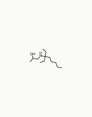 CCCCCC(CC)(CC)NCC(C)O